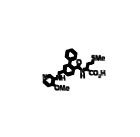 COc1ccncc1NCc1ccc(C(=O)N[C@@H](CCSC)C(=O)O)c(-c2ccccc2)c1